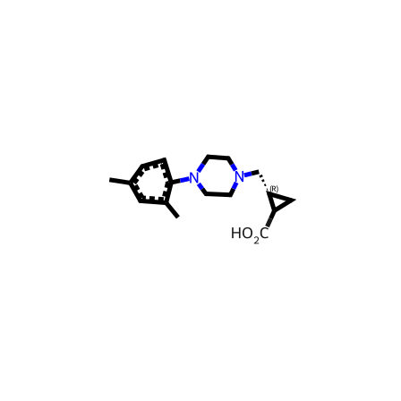 Cc1ccc(N2CCN(C[C@@H]3CC3C(=O)O)CC2)c(C)c1